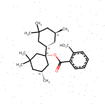 C[C@@H]1CC(C)(C)C[C@@](OC(=O)c2ccccc2C(=O)O)([C@H]2C[C@H](C)CC(C)(C)C2)C1